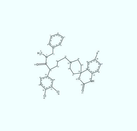 CN(Cc1ccccc1)C(=O)C(CCCN1CCC2(CC1)OC(=O)Nc1ccc(F)cc12)c1ccc(Cl)c(Cl)c1